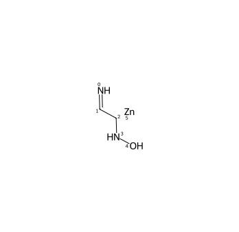 N=CCNO.[Zn]